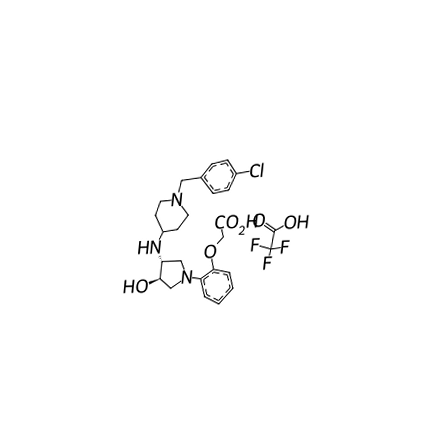 O=C(O)C(F)(F)F.O=C(O)COc1ccccc1N1C[C@@H](O)[C@H](NC2CCN(Cc3ccc(Cl)cc3)CC2)C1